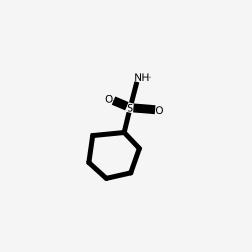 [NH]S(=O)(=O)C1CCCCC1